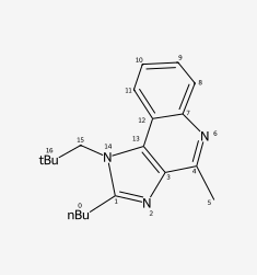 CCCCc1nc2c(C)nc3ccccc3c2n1CC(C)(C)C